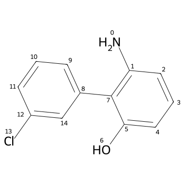 Nc1cccc(O)c1-c1cccc(Cl)c1